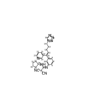 N#CC(C#N)C(=Nc1cccc(C(=CCCCn2cnnn2)c2cccnc2)c1)NC1CCCC1